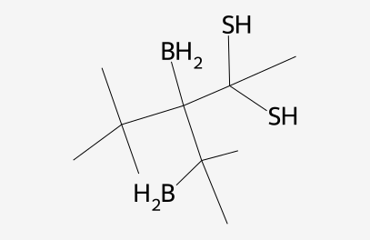 BC(C)(C)C(B)(C(C)(C)C)C(C)(S)S